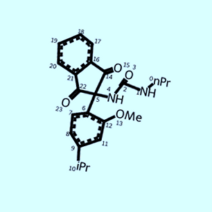 CCCNC(=O)NC1(c2ccc(C(C)C)cc2OC)C(=O)c2ccccc2C1=O